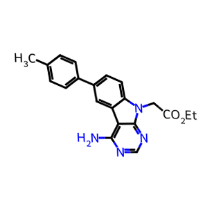 CCOC(=O)Cn1c2ccc(-c3ccc(C)cc3)cc2c2c(N)ncnc21